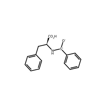 O=C(O)[C@H](Cc1ccccc1)N[S+]([O-])c1ccccc1